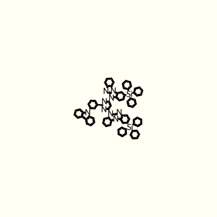 c1ccc([Si](c2ccccc2)(c2ccccc2)c2ccc3nc4n(-c5cc(-n6c7ccc([Si](c8ccccc8)(c8ccccc8)c8ccccc8)cc7n7c8ccccc8nc67)nc(-c6cccc(-n7c8ccccc8c8ccccc87)c6)n5)c5ccccc5n4c3c2)cc1